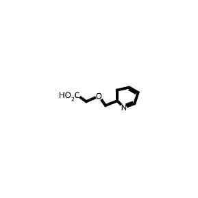 O=C(O)COCC1CC=CC=N1